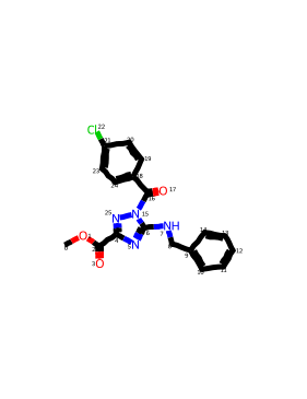 COC(=O)c1nc(NCc2ccccc2)n(C(=O)c2ccc(Cl)cc2)n1